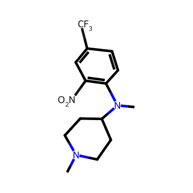 CN1CCC(N(C)c2ccc(C(F)(F)F)cc2[N+](=O)[O-])CC1